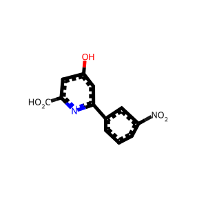 O=C(O)c1cc(O)cc(-c2cccc([N+](=O)[O-])c2)n1